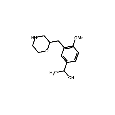 COc1ccc(C(C)O)cc1CC1CNCCO1